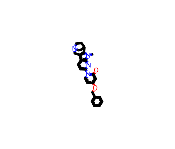 Cn1c2c(c3ccc(-n4ccc(OCc5ccccc5)cc4=O)nc31)CN1CCC2CC1